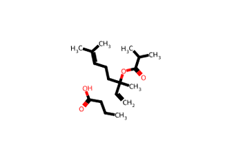 C=CC(C)(CCC=C(C)C)OC(=O)C(C)C.CCCC(=O)O